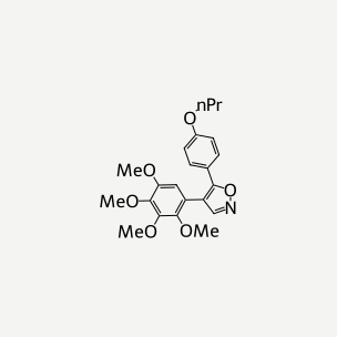 CCCOc1ccc(-c2oncc2-c2cc(OC)c(OC)c(OC)c2OC)cc1